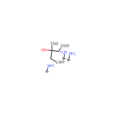 O=C([O-])CC(O)(CC(=O)[O-])C(=O)[O-].[NH3+][Bi].[NH3+][Bi].[NH3+][Bi]